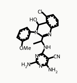 COc1cccc(N2C(C(C)Nc3nc(N)nc(N)c3C#N)=Nc3cccc(Cl)c3C2O)c1